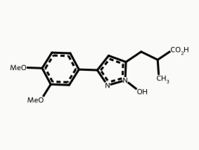 COc1ccc(-c2cc(CC(C)C(=O)O)n(O)n2)cc1OC